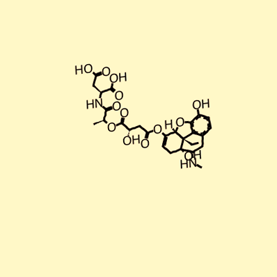 CC[C@]12c3c4ccc(O)c3O[C@H]1C(OC(=O)C[C@H](O)C(=O)O[C@@H](C)C(=O)N[C@@H](CC(=O)O)C(=O)O)=CC[C@@]2(O)[C@H](NC)C4